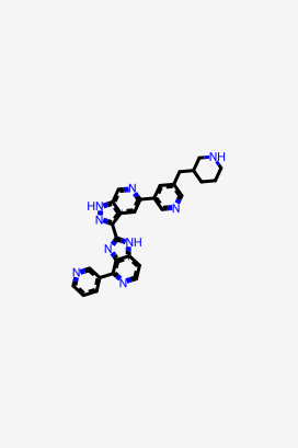 c1cncc(-c2nccc3[nH]c(-c4n[nH]c5cnc(-c6cncc(CC7CCCNC7)c6)cc45)nc23)c1